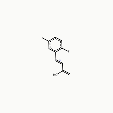 C=C(O)/C=C/c1cc(C)ccc1F